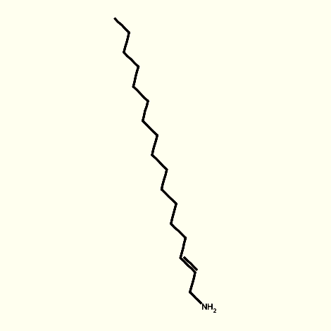 CCCCCCCCCCCCCCC=CCN